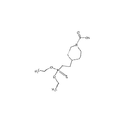 CCOP(=S)(CCC1CCN(C(=O)O)CC1)OCC